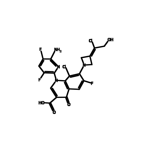 Nc1nc(-n2cc(C(=O)O)c(=O)c3cc(F)c(N4CC(=C(Cl)CO)C4)c(Cl)c32)c(F)cc1F